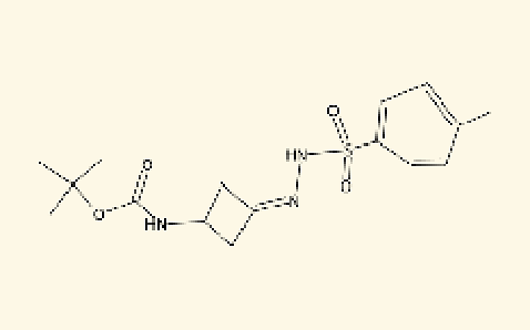 Cc1ccc(S(=O)(=O)NN=C2CC(NC(=O)OC(C)(C)C)C2)cc1